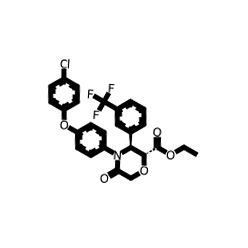 CCOC(=O)[C@@H]1OCC(=O)N(c2ccc(Oc3ccc(Cl)cc3)cc2)[C@H]1c1cccc(C(F)(F)F)c1